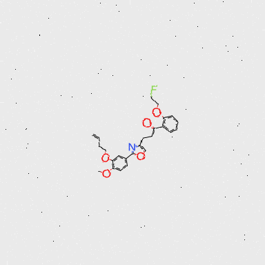 C=CCCOc1cc(-c2nc(CCC(=O)c3ccccc3OCCF)co2)ccc1OC